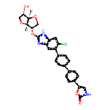 O=c1[nH]cc(-c2ccc(-c3ccc(-c4cc5nc(O[C@@H]6CO[C@H]7[C@@H]6OC[C@H]7O)[nH]c5cc4Cl)cc3)cc2)o1